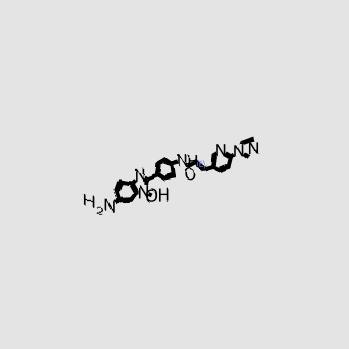 Nc1ccc2nc(-c3ccc(NC(=O)/C=C/c4ccc(-n5ccnc5)nc4)cc3)n(O)c2c1